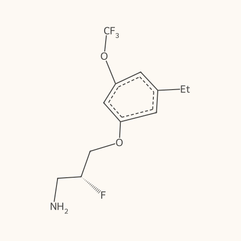 CCc1cc(OC[C@H](F)CN)cc(OC(F)(F)F)c1